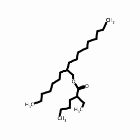 CCCCCCCCCC(CCCCCCC)COC(=O)C(CC)CCCC